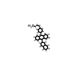 C=C/C=C\c1ccc(-c2c3ccccc3c(-c3ccc4ccccc4c3)c3ccccc23)cc1